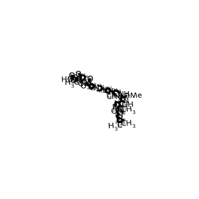 COc1ncc(-c2ccnc(N3CCn4c(cc5c4CC(C)(C)C5)C3=O)c2[C@@H](C)O)cc1Nc1ccc(N2CCN(C3CCN(c4ccc5c(c4)C(=O)N([C@H]4CCC(=O)N(C(C)OP(=O)(O)O)C4=O)C5=O)CC3)C[C@@H]2C)cn1